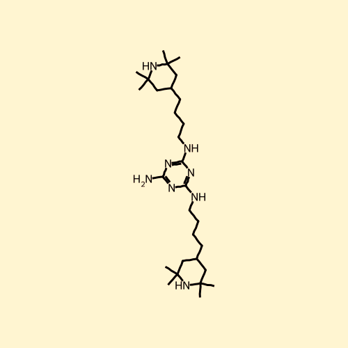 CC1(C)CC(CCCCNc2nc(N)nc(NCCCCC3CC(C)(C)NC(C)(C)C3)n2)CC(C)(C)N1